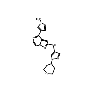 Cn1cc(-c2nccn3nc(Nc4cnn(C5CCNCC5)c4)nc23)cn1